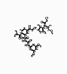 COC[C@H](C)N(C(=O)CCl)c1c(C)csc1C.COc1cc(OC)nc(NC(=O)NS(=O)(=O)c2cc(NC=O)ccc2C(=O)N(C)C)n1